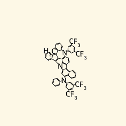 CC12c3ccccc3-c3c1c1c(ccc4c5c6ccccc6c(N(c6ccccc6)c6cc(C(F)(F)F)cc(C(F)(F)F)c6)cc5n3c14)N(c1cc(C(F)(F)F)cc(C(F)(F)F)c1)c1ccccc12